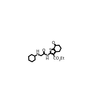 CCOC(=O)c1c(NC(=O)CNC2CCCCC2)sc2c1CCCC2=O